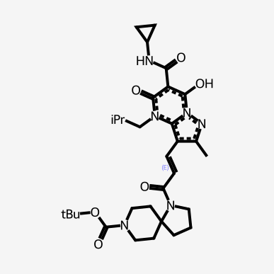 Cc1nn2c(O)c(C(=O)NC3CC3)c(=O)n(CC(C)C)c2c1/C=C/C(=O)N1CCCC12CCN(C(=O)OC(C)(C)C)CC2